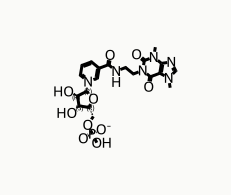 Cn1cnc2c1c(=O)n(CCNC(=O)c1ccc[n+]([C@@H]3O[C@H](COP(=O)([O-])O)[C@@H](O)[C@H]3O)c1)c(=O)n2C